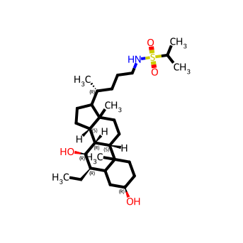 CC[C@@H]1C2C[C@H](O)CCC2(C)[C@H]2CCC3(C)C([C@H](C)CCCNS(=O)(=O)C(C)C)CC[C@H]3[C@H]2[C@@H]1O